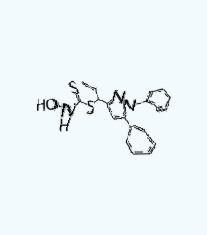 C=CC(SC(=S)NO)c1cc(-c2ccccc2)n(-c2ccccc2)n1